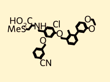 CSC[C@H](NCc1cc(Cl)c(OCc2cccc(-c3ccc4c(c3)OCCO4)c2C)cc1OCc1cccc(C#N)c1)C(=O)O